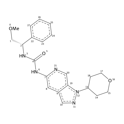 COC[C@@H](NC(=O)Nc1cc2cnn(C3CCOCC3)c2cn1)c1ccccc1